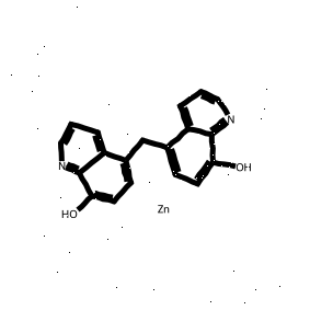 Oc1ccc(Cc2ccc(O)c3ncccc23)c2cccnc12.[Zn]